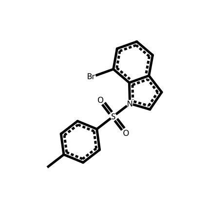 Cc1ccc(S(=O)(=O)n2ccc3cccc(Br)c32)cc1